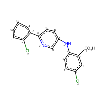 O=C(O)c1cc(Cl)ccc1Nc1ccc(-c2ccccc2Cl)nc1